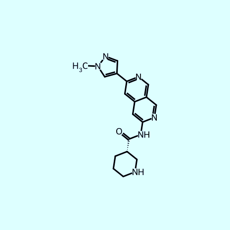 Cn1cc(-c2cc3cc(NC(=O)[C@H]4CCCNC4)ncc3cn2)cn1